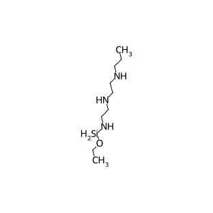 CCCNCCNCCN[SiH2]OCC